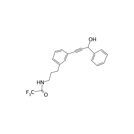 O=C(NCCCc1cccc(C#CC(O)c2ccccc2)c1)C(F)(F)F